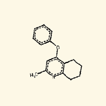 Cc1cc(Oc2ccccc2)c2c(n1)CCCC2